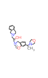 CC(c1ccc2c(c1)OCCN(C[C@H](O)CN1CCc3ccccc3C1)C2)N1CCOCC1